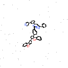 c1ccc(-c2cc(-c3cccc(-c4ccncc4)c3)nc(-c3ccc(-c4ccc(-c5ccc6oc7ccccc7c6c5)c5oc6ccccc6c45)cc3)n2)cc1